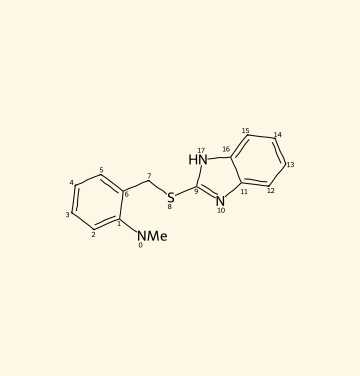 CNc1ccccc1CSc1nc2ccccc2[nH]1